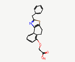 O=C(O)COc1cccc2c1CCc1sc(Cc3ccccc3)nc1-2